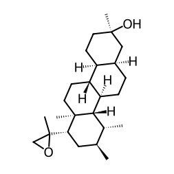 C[C@H]1[C@H]2[C@@H]3CC[C@@H]4C[C@](C)(O)CC[C@@H]4[C@H]3CC[C@]2(C)[C@@H](C2(C)CO2)C[C@@H]1C